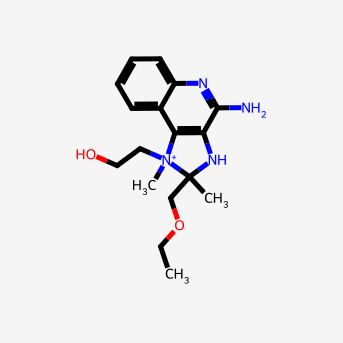 CCOCC1(C)Nc2c(N)nc3ccccc3c2[N+]1(C)CCO